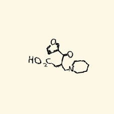 O=C(O)CC(CN1CCCCC1)C(=O)c1ccoc1